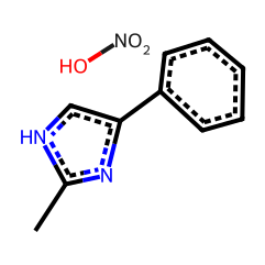 Cc1nc(-c2ccccc2)c[nH]1.O=[N+]([O-])O